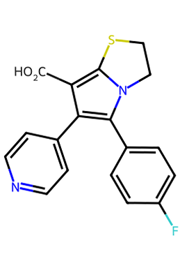 O=C(O)c1c(-c2ccncc2)c(-c2ccc(F)cc2)n2c1SCC2